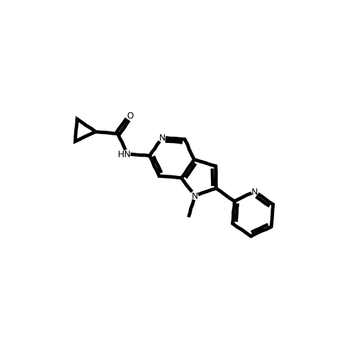 Cn1c(-c2ccccn2)cc2cnc(NC(=O)C3CC3)cc21